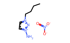 CCCCn1cc[n+](N)n1.O=[N+]([O-])[O-]